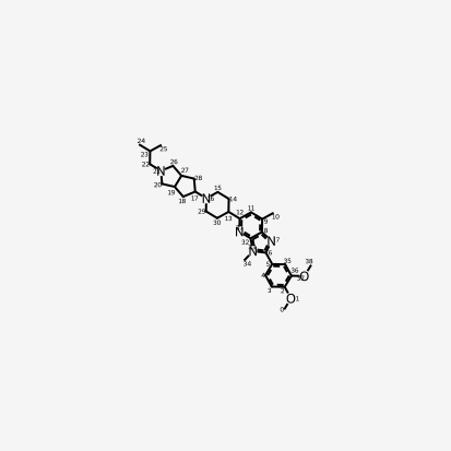 COc1ccc(-c2nc3c(C)cc(C4CCN(C5CC6CN(CC(C)C)CC6C5)CC4)nc3n2C)cc1OC